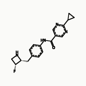 O=C(Nc1ccc(C[C@H]2NC[C@H]2F)cc1)c1cnc(C2CC2)nc1